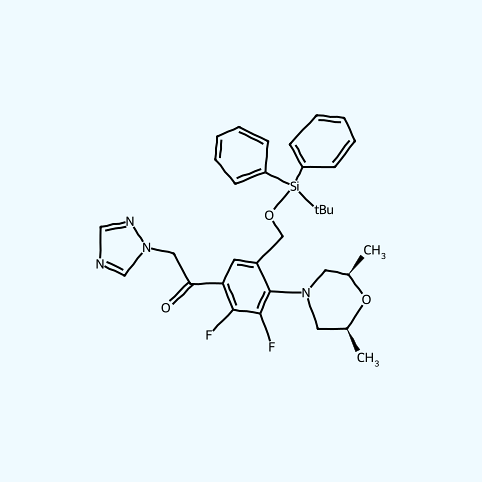 C[C@@H]1CN(c2c(CO[Si](c3ccccc3)(c3ccccc3)C(C)(C)C)cc(C(=O)Cn3cncn3)c(F)c2F)C[C@H](C)O1